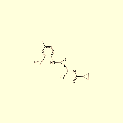 O=C(O)c1cc(F)ccc1NC1SN1C(NC(=O)C1CC1)C(Cl)(Cl)Cl